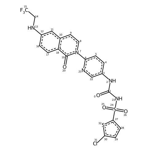 O=C(Nc1ccc(-n2ccc3cc(NCC(F)(F)F)ccc3c2=O)nc1)NS(=O)(=O)c1ccc(Cl)s1